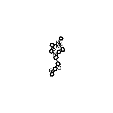 c1ccc(-c2nc(-c3ccccc3)nc(-c3cccc4c3sc3c(-n5c6ccccc6c6cc(-c7ccc8oc9cc%10c(cc9c8c7)oc7ccccc7%10)ccc65)cccc34)n2)cc1